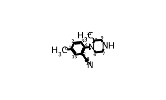 Cc1ccc(N2CCNC[C@H]2C)c(C#N)c1